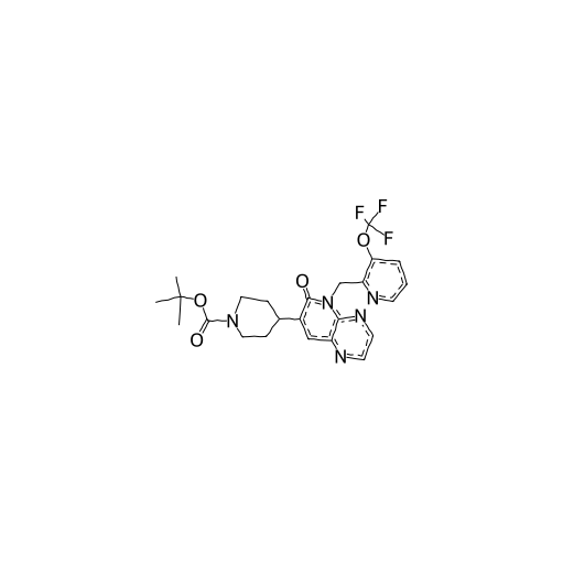 CC(C)(C)OC(=O)N1CCC(c2cc3nccnc3n(Cc3ncccc3OC(F)(F)F)c2=O)CC1